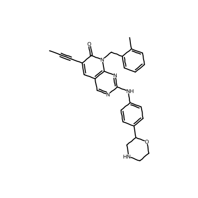 CC#Cc1cc2cnc(Nc3ccc(C4CNCCO4)cc3)nc2n(Cc2ccccc2C)c1=O